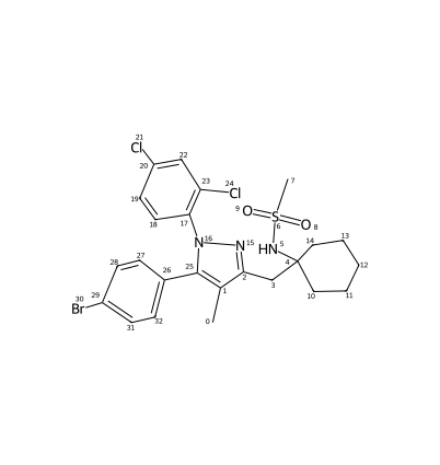 Cc1c(CC2(NS(C)(=O)=O)CCCCC2)nn(-c2ccc(Cl)cc2Cl)c1-c1ccc(Br)cc1